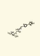 O=C(CSc1nnc(O)nc1O)N/N=C/c1ccc(-c2nn[nH]n2)cn1